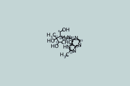 CC(O)(C(O)C=O)C(O)CO.Cc1nc2ncnc(N)c2[nH]1